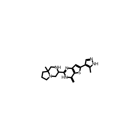 C=C1NC(C2CN3CCCC3(C)CN2)=Nc2cc(-c3cn[nH]c3C)sc21